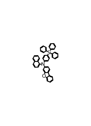 c1ccc([Si](c2ccccc2)(c2ccccc2)c2ccc(N(c3ccc4c(c3)oc3ccccc34)c3cccc4ccccc34)cc2)cc1